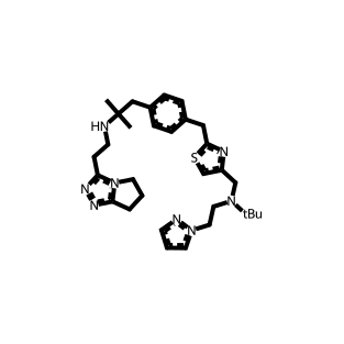 CC(C)(Cc1ccc(Cc2nc(CN(CCn3cccn3)C(C)(C)C)cs2)cc1)NCCc1nnc2n1CCC2